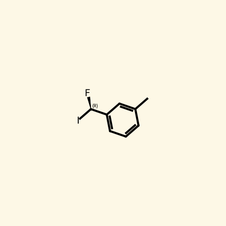 Cc1cccc([C@H](F)I)c1